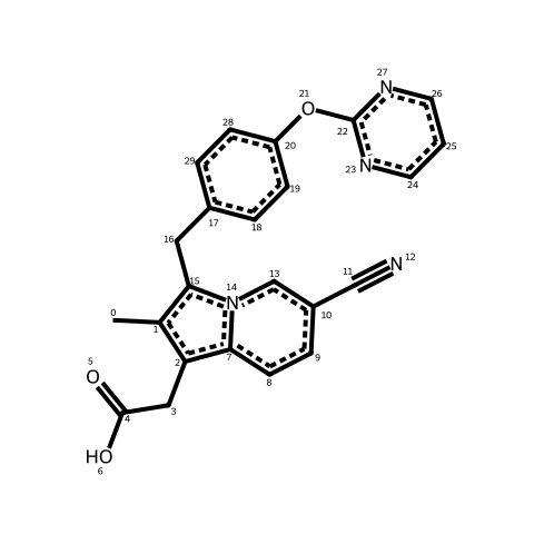 Cc1c(CC(=O)O)c2ccc(C#N)cn2c1Cc1ccc(Oc2ncccn2)cc1